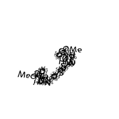 COC(=O)N[C@@H](C(=O)N1CC=C[C@H]1c1ncc(-c2cc3sc(-c4ccc(-c5cnc([C@@H]6CCCN6C(=O)[C@H](NC(=O)OC)c6ccccc6)[nH]5)cc4)cc3s2)[nH]1)c1ccccc1